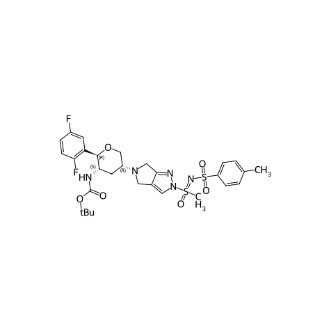 Cc1ccc(S(=O)(=O)N=S(C)(=O)n2cc3c(n2)CN([C@H]2CO[C@H](c4cc(F)ccc4F)[C@@H](NC(=O)OC(C)(C)C)C2)C3)cc1